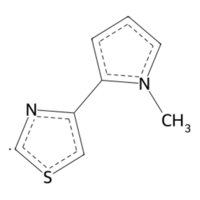 Cn1cccc1-c1cs[c]n1